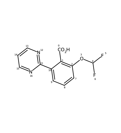 O=C(O)c1c(OC(F)F)cccc1-c1ncccn1